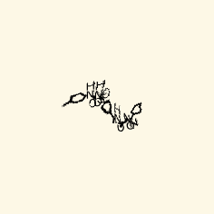 CC1CCC(NC(=O)NS(=O)(=O)c2ccc(C(C)NC(=O)c3nc(C4CCCCC4)no3)cc2)CC1